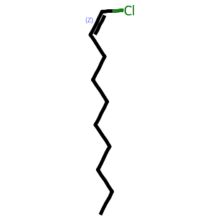 CCCCCCCC/C=C\Cl